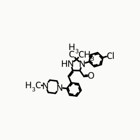 CN1CCN(c2ccccc2C=C2NC(C)(C)N(c3ccc(Cl)cc3)C2C=O)CC1